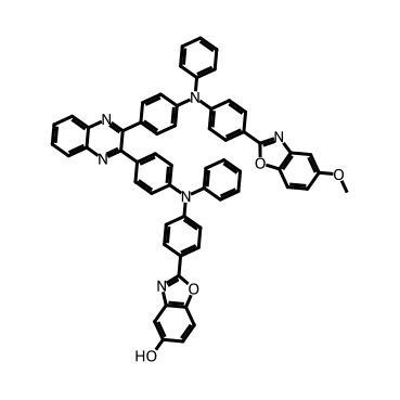 COc1ccc2oc(-c3ccc(N(c4ccccc4)c4ccc(-c5nc6ccccc6nc5-c5ccc(N(c6ccccc6)c6ccc(-c7nc8cc(O)ccc8o7)cc6)cc5)cc4)cc3)nc2c1